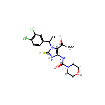 CCC(c1ccc(Cl)c(Cl)c1)n1c(C(=O)OC)c(NC(=O)N2CCOCC2)[nH]c1=S